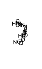 N#Cc1ccc(O[C@H]2CC[C@H](NC(=O)c3ccc(N4CC(CN5CCC(n6ccc7c(N8CCC(=O)NC8=O)cccc76)CC5)C4)nn3)CC2)cc1Cl